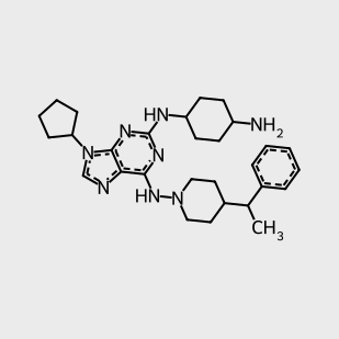 CC(c1ccccc1)C1CCN(Nc2nc(NC3CCC(N)CC3)nc3c2ncn3C2CCCC2)CC1